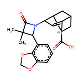 CC1(C)C(=O)N(C2C=C3C4CC2C[C@@]3(C(=O)O)C4)C1c1cccc2c1OCO2